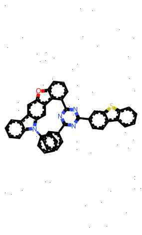 c1ccc(-c2nc(-c3ccc4c(c3)sc3ccccc34)nc(-c3cccc4oc5cc6c7ccccc7n(-c7ccccc7)c6cc5c34)n2)cc1